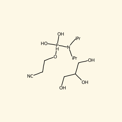 CC(C)N(C(C)C)[PH](O)(O)OCCC#N.OCC(O)CO